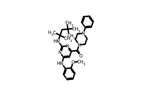 COc1ccccc1Nc1cc(C(=O)N2CCN(c3ccccc3)CC2)nc(NC(C)(C)CC(C)(C)C)n1